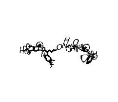 CC[C@@]1(O)C(=O)OCc2c1cc1n(c2=O)Cc2c-1nc1cc(F)c(C)cc1c2CCCCOCNC(=O)CNC(=O)[C@H](C)NC(=O)CNN1C(=O)C=CC1=O